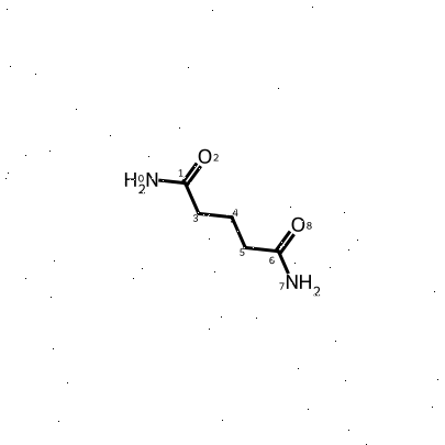 NC(=O)C[CH]CC(N)=O